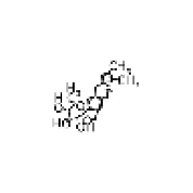 Cc1cc(Cc2cc3c(cc2Cl)CO[C@]32O[C@H](C)[C@@H](O)[C@H](O)[C@H]2O)sc1C